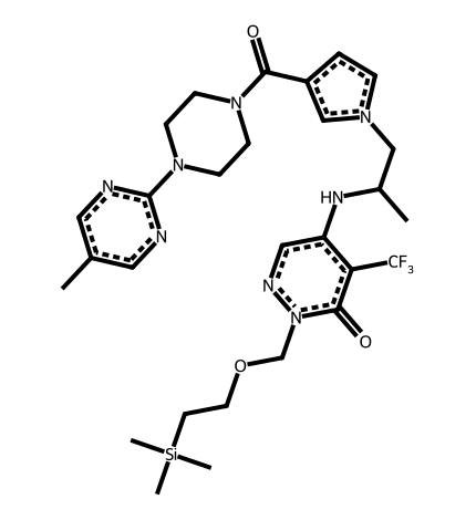 Cc1cnc(N2CCN(C(=O)c3ccn(CC(C)Nc4cnn(COCC[Si](C)(C)C)c(=O)c4C(F)(F)F)c3)CC2)nc1